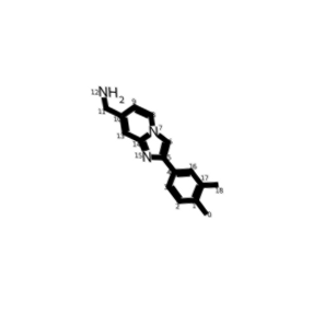 Cc1ccc(-c2cn3ccc(CN)cc3n2)cc1C